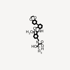 C[C@@H](O)[C@H](N=Cc1ccc2c(c1)c(Nc1cccc(-c3ccc4c(c3)OCCO4)c1Cl)nn2C)C(=O)O